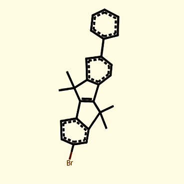 CC1(C)C2=C(c3ccc(Br)cc31)C(C)(C)c1cc(-c3ccccc3)ccc12